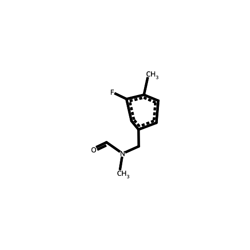 Cc1ccc(CN(C)C=O)cc1F